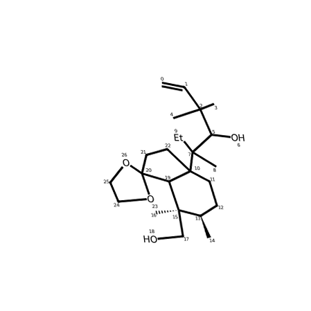 C=CC(C)(C)C(O)C(C)(CC)C12CC[C@@H](C)[C@@](C)(CO)C1C1(CC2)OCCO1